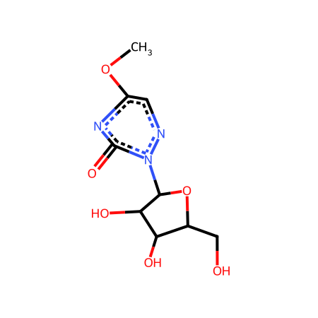 COc1cnn(C2OC(CO)C(O)C2O)c(=O)n1